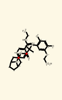 CC(C)(Oc1cc(OCC(=O)O)c(Cl)cc1Cl)C(=O)NC1CC2CCC(C1)N2c1ccc(C(=O)NCC(F)(F)F)cn1